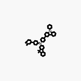 C#C/C=C\C(=C/C=C)c1ccc(N(c2ccc(-c3ccc4c(c3)c3ccccc3n4-c3ccccc3)cc2)c2ccc3c(c2)C(C)(C)c2ccccc2-3)cc1